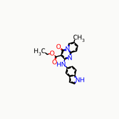 CCOC(=O)c1c(Nc2ccc3[nH]ccc3c2)nc2ccc(C)cn2c1=O